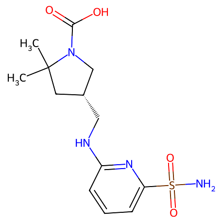 CC1(C)C[C@@H](CNc2cccc(S(N)(=O)=O)n2)CN1C(=O)O